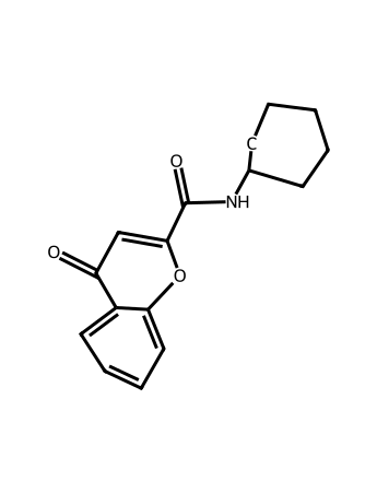 O=C(NC1CCCCC1)c1cc(=O)c2ccccc2o1